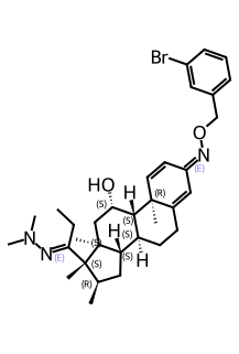 CC/C(=N\N(C)C)[C@@]1(C)[C@H](C)C[C@H]2[C@@H]3CCC4=C/C(=N/OCc5cccc(Br)c5)C=C[C@]4(C)[C@H]3[C@@H](O)C[C@@]21C